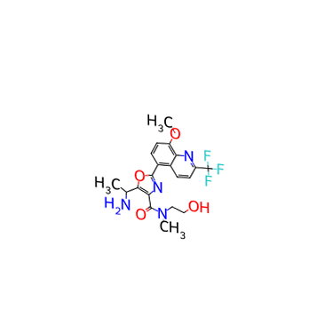 COc1ccc(-c2nc(C(=O)N(C)CCO)c(C(C)N)o2)c2ccc(C(F)(F)F)nc12